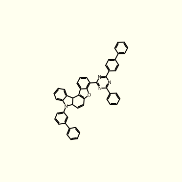 C1=CC2C(c3ccccc3N2c2cccc(-c3ccccc3)c2)c2c1oc1c(-c3nc(-c4ccccc4)nc(-c4ccc(-c5ccccc5)cc4)n3)cccc21